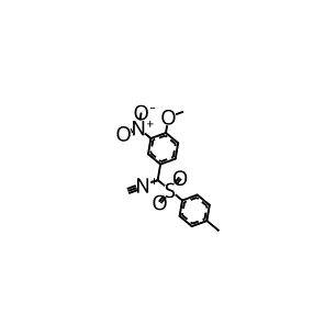 C#[N+]C(c1ccc(OC)c([N+](=O)[O-])c1)S(=O)(=O)c1ccc(C)cc1